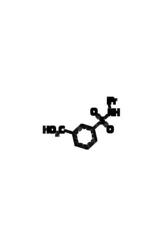 CC(C)NS(=O)(=O)c1cccc(C(=O)O)c1